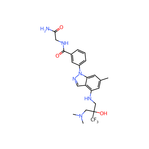 Cc1cc(NCC(O)(CN(C)C)C(F)(F)F)c2cnn(-c3cccc(C(=O)NCC(N)=O)c3)c2c1